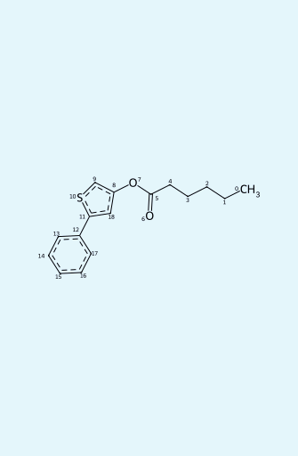 CCCCCC(=O)Oc1csc(-c2ccccc2)c1